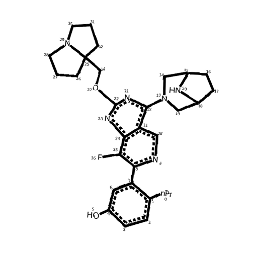 CCCc1ccc(O)cc1-c1ncc2c(N3CC4CCC(C3)N4)nc(OCC34CCCN3CCC4)nc2c1F